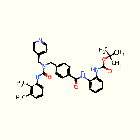 Cc1cccc(NC(=O)N(Cc2ccncc2)Cc2ccc(C(=O)Nc3ccccc3NC(=O)OC(C)(C)C)cc2)c1C